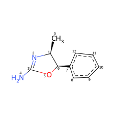 C[C@@H]1N=C(N)O[C@@H]1c1ccccc1